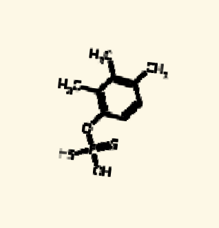 Cc1ccc(OP(O)(=S)S)c(C)c1C